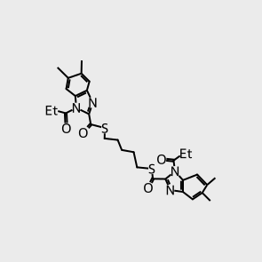 CCC(=O)n1c(C(=O)SCCCCCSC(=O)c2nc3cc(C)c(C)cc3n2C(=O)CC)nc2cc(C)c(C)cc21